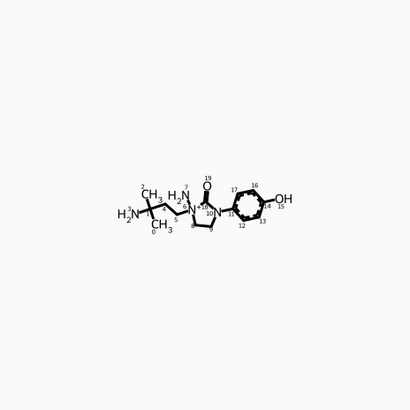 CC(C)(N)CC[N+]1(N)CCN(c2ccc(O)cc2)C1=O